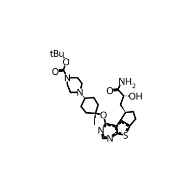 CC(C)(C)OC(=O)N1CCN([C@H]2CC[C@@](I)(Oc3ncnc4sc5c(c34)[C@@H](C[C@@H](O)C(N)=O)CC5)CC2)CC1